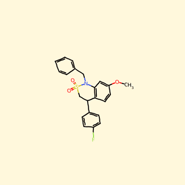 COc1ccc2c(c1)N(Cc1ccccc1)S(=O)(=O)CC2c1ccc(F)cc1